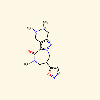 C[C@@H]1Cc2nn3c(c2CN1C)C(=O)N(C)CC(c1ccno1)C3